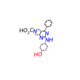 O=C(O)N1Cc2nc(N[C@H]3CC[C@H](O)CC3)nc(-c3ccccc3)c2C1